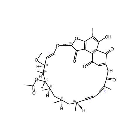 CO[C@H]1/C=C/O[C@@]2(C)Oc3c(C)c(O)c4c(c3C2=O)C(=O)C=C(NC(=O)/C(C)=C\C=C\[C@H](C)C[C@@H](C)C[C@@H](C)[C@H](OC(C)=O)[C@@H]1C)C4=O